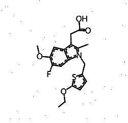 CCOc1ccc(Cn2c(C)c(CC(=O)O)c3cc(OC)c(F)cc32)s1